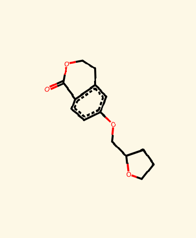 O=C1OCCc2cc(OCC3CCCO3)ccc21